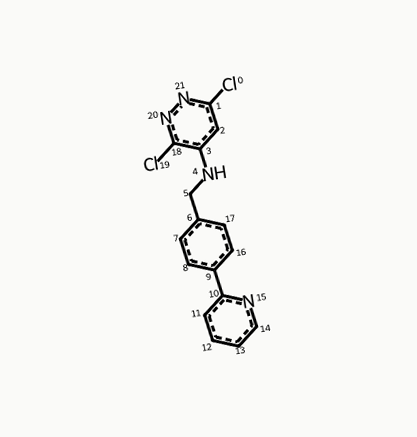 Clc1cc(NCc2ccc(-c3ccccn3)cc2)c(Cl)nn1